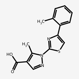 Cc1ccccc1-c1csc(-n2ncc(C(=O)O)c2C)n1